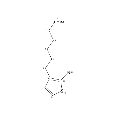 CCCCCCCCCCCc1ccsc1[N]